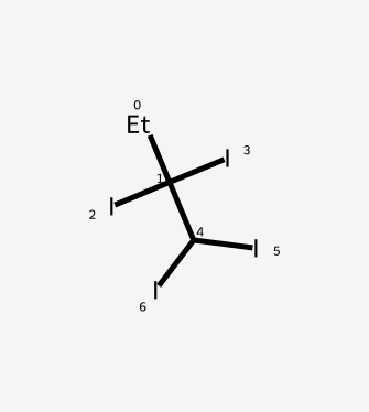 CCC(I)(I)C(I)I